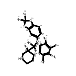 [2H]c1c([2H])c([C@@H]2CCNCC2([2H])C([2H])([2H])Oc2ccc3c(c2)OC([2H])([2H])O3)c([2H])c([2H])c1F